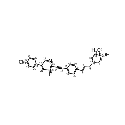 CC1(O)CCN(C/C=C/c2ccc(C#Cc3ncc(-c4ccc(Cl)cc4)cc3F)cc2)CC1